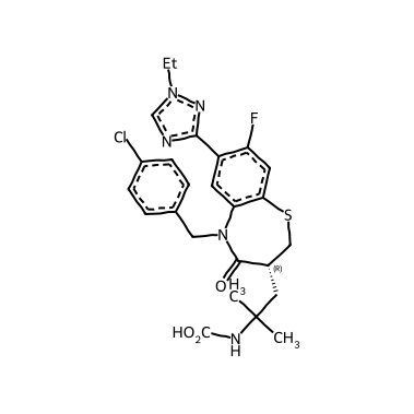 CCn1cnc(-c2cc3c(cc2F)SC[C@H](CC(C)(C)NC(=O)O)C(=O)N3Cc2ccc(Cl)cc2)n1